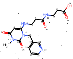 Cn1c(=O)cc(NCCC(=O)NCCC(=O)O)n(Cc2cccnc2)c1=O